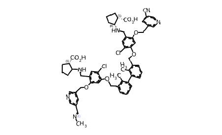 C/N=C/c1cncc(COc2cc(OCc3cccc(-c4cccc(COc5cc(OCc6cncc(C#N)c6)c(CN[C@@H]6CCC[C@@H]6C(=O)O)cc5Cl)c4C)c3C)c(Cl)cc2CNC2CCC[C@@H]2C(=O)O)c1